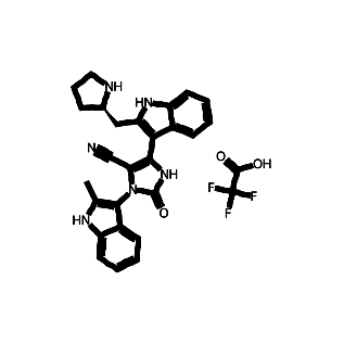 Cc1[nH]c2ccccc2c1-n1c(C#N)c(-c2c(C[C@H]3CCCN3)[nH]c3ccccc23)[nH]c1=O.O=C(O)C(F)(F)F